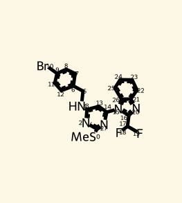 CSc1nc(NCc2ccc(Br)cc2)cc(-n2c(C(F)F)nc3ccccc32)n1